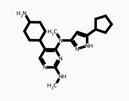 CNc1ncc(C2CCC(N)CC2)c(N(C)c2cc(C3CCCC3)[nH]n2)n1